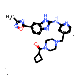 Cc1noc(-c2ccc3nc(Nc4cc(CN5CCN(C(=O)C6CCC6)CC5)ccn4)[nH]c3c2)n1